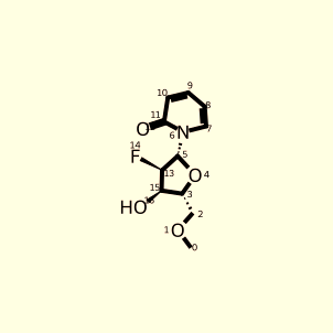 COC[C@H]1O[C@@H](n2ccccc2=O)[C@H](F)[C@@H]1O